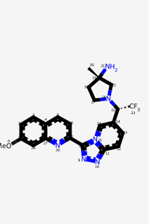 COc1ccc2ccc(-c3nnc4ccc([C@H](N5CC[C@](C)(N)C5)C(F)(F)F)cn34)nc2c1